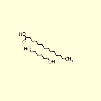 CCCCCCCCCCCCCC(=O)O.OCCCCCCO